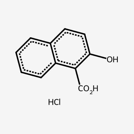 Cl.O=C(O)c1c(O)ccc2ccccc12